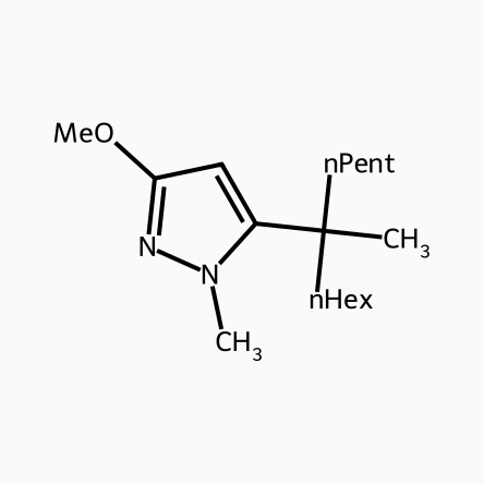 CCCCCCC(C)(CCCCC)c1cc(OC)nn1C